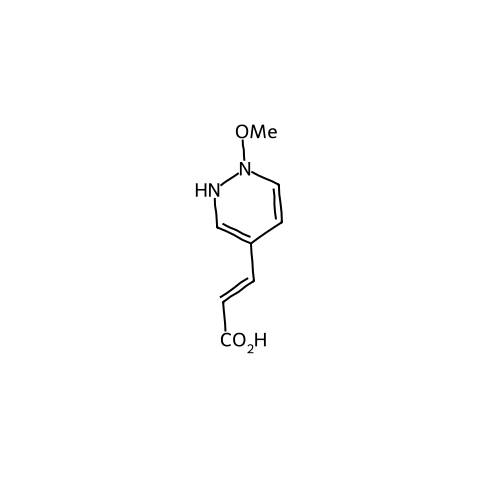 CON1C=CC(C=CC(=O)O)=CN1